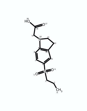 CCCS(=O)(=O)c1ccc2c(c1)CCN2CC(=O)O